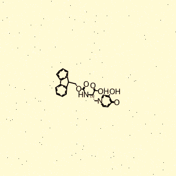 O=C(N[C@@H](Cn1ccc(=O)c(O)c1)C(=O)O)OCC1c2ccccc2-c2ccccc21